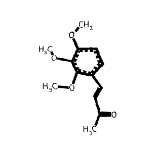 COc1ccc(C=CC(C)=O)c(OC)c1OC